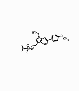 CC(C)Cn1cc(CCNS(=O)(=O)N(C)C)c2ccc(-c3ccc(OC(F)(F)F)cc3)cc21